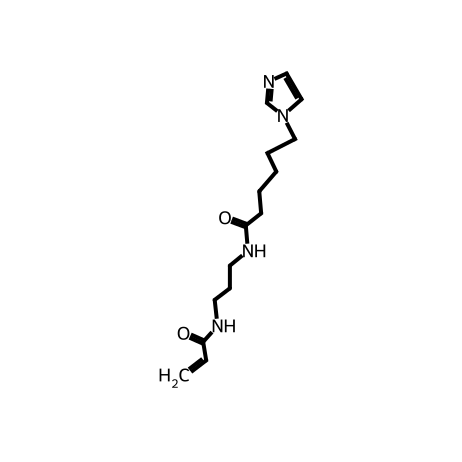 C=CC(=O)NCCCNC(=O)CCCCCn1ccnc1